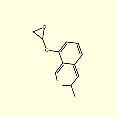 C/C=c1/c(OC2CO2)ccc/c1=C/C(C)C